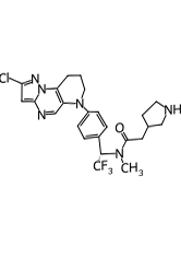 CN(C(=O)CC1CCNC1)[C@@H](c1ccc(N2CCCc3c2cnc2cc(Cl)nn32)cc1)C(F)(F)F